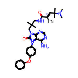 CN(C)C(C)(C)/C=C(\C#N)C(=O)NCC(C)(C)Cn1c(=O)n(-c2ccc(Oc3ccccc3)cc2)c2c(N)ncnc21